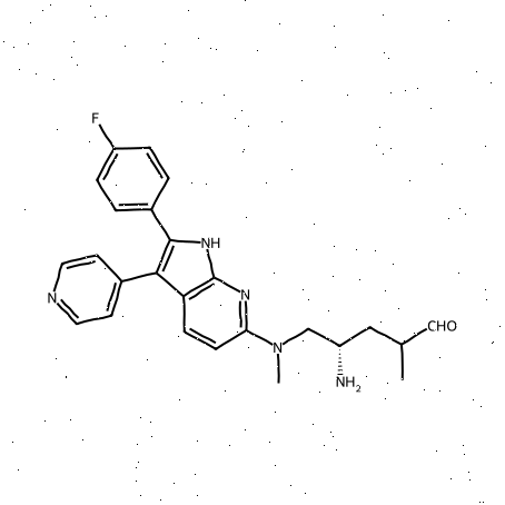 CC(C=O)C[C@H](N)CN(C)c1ccc2c(-c3ccncc3)c(-c3ccc(F)cc3)[nH]c2n1